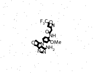 COc1cc(-n2c3c(c4ncnc(N)c42)COC3)ccc1NC(=O)Cc1cc(C(F)(F)F)on1